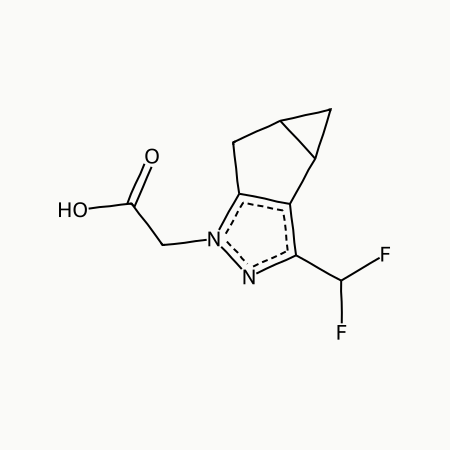 O=C(O)Cn1nc(C(F)F)c2c1CC1CC21